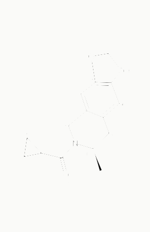 C[C@@H]1Cc2cc3c(cc2CN1C(=O)C1CC1)OCO3